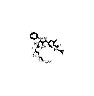 BC[C@@H](CNCCOC)NC(=O)N/C(Nc1ccccc1)=C(\C)C(=N)c1cnc(C(=O)NC2CC2)c(F)c1